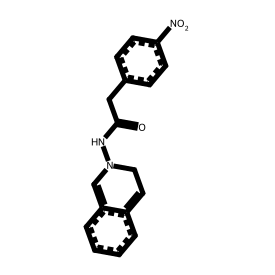 O=C(Cc1ccc([N+](=O)[O-])cc1)NN1C=c2ccccc2=CC1